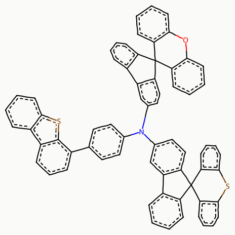 c1ccc2c(c1)Oc1ccccc1C21c2ccccc2-c2cc(N(c3ccc(-c4cccc5c4sc4ccccc45)cc3)c3ccc4c(c3)-c3ccccc3C43c4ccccc4Sc4ccccc43)ccc21